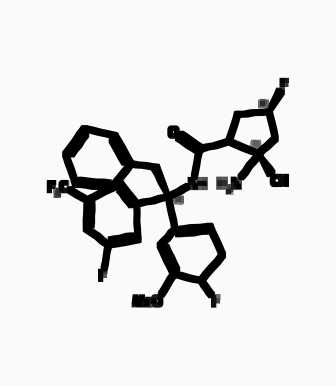 COC1=CC([C@@](Cc2ccccc2)(NC(=O)C2C[C@@H](F)C[C@@]2(N)C#N)c2cc(F)cc(C(F)(F)F)c2)=CCC1F